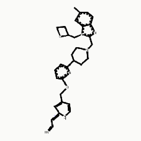 Cc1ccc2nc(CN3CCC(c4cccc(OCC5=C/C(=C/C=N)NC=C5)n4)CC3)n(CC3CCO3)c2c1